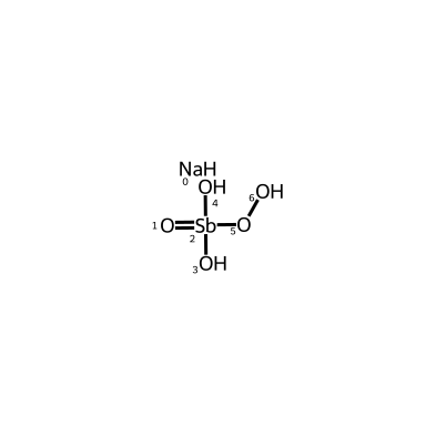 [NaH].[O]=[Sb]([OH])([OH])[O]O